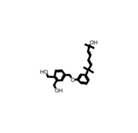 CC(C)(O)C=CC=CC(C)(C)c1cccc(OCc2ccc(CO)c(CO)c2)c1